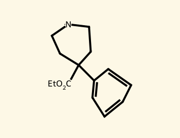 CCOC(=O)C1(c2ccccc2)CC[N]CC1